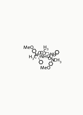 COc1ccc(N(C)C(=O)[C@H](Cc2ccccc2)NC(=O)/C=C(\C)CC(=O)N[C@@H](Cc2ccccc2)C(=O)N(C)c2ccc(OC)cc2)cc1